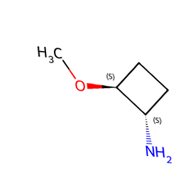 CO[C@H]1CC[C@@H]1N